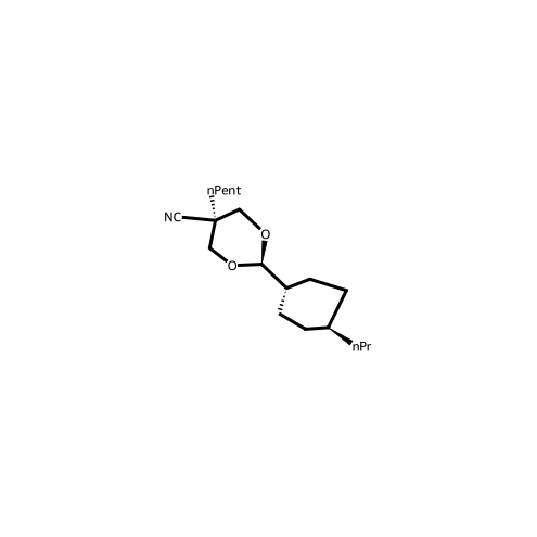 CCCCC[C@]1(C#N)CO[C@@H]([C@H]2CC[C@H](CCC)CC2)OC1